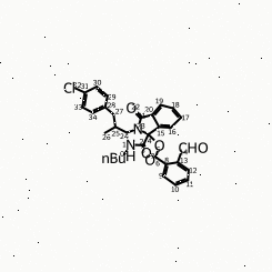 CCCCNC(=O)C1(OC(=O)c2ccccc2C=O)c2ccccc2C(=O)N1CC(C)Cc1ccc(Cl)cc1